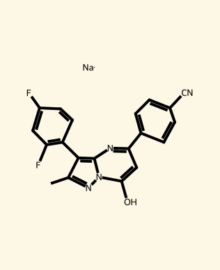 Cc1nn2c(O)cc(-c3ccc(C#N)cc3)nc2c1-c1ccc(F)cc1F.[Na]